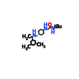 C=C(NC[C@H]1CC[C@H](NCC(=O)NC(C)(C)C)CC1)c1cc(C)cc(C)c1